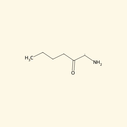 CCCCC(=O)[CH]N